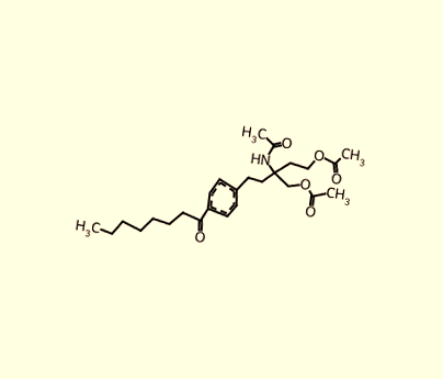 CCCCCCCC(=O)c1ccc(CCC(CCOC(C)=O)(COC(C)=O)NC(C)=O)cc1